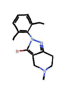 Cc1cccc(C)c1-n1nc2c(c1Br)CN(C)CC2